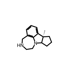 C[C@]12CCCC1N1CCNCc3cccc2c31